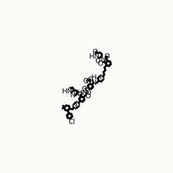 CC1(C)CCC(CN2CCN(c3ccc(C(=O)NS(=O)(=O)c4ccc(NCC5CCN(CCCCc6cccc7c6C(=O)N(C6CCC(=O)NC6=O)C7=O)CC5)c([N+](=O)[O-])c4)c(Oc4cnc5[nH]ccc5c4)c3)CC2)=C(c2ccc(Cl)cc2)C1